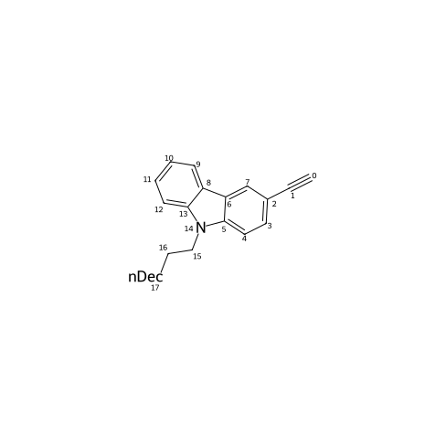 C#Cc1ccc2c(c1)c1ccccc1n2CCCCCCCCCCCC